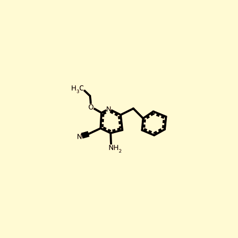 CCOc1nc(Cc2ccccc2)cc(N)c1C#N